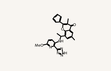 COc1ccc(NC(C)c2cc(C)cc3c(=O)c(C)c(-c4ccccc4)oc23)c(-c2nn[nH]n2)n1